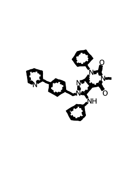 Cn1c(=O)c2c(Nc3ccccc3)n(Cc3ccc(-c4ccccn4)cc3)nc2n(-c2ccccc2)c1=O